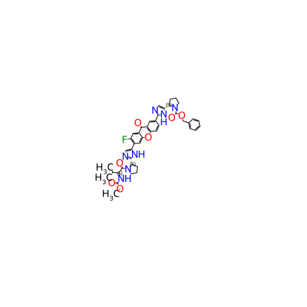 COC(=O)N[C@H](C(=O)N1CCC[C@H]1c1ncc(-c2cc3oc4ccc(-c5ncc([C@@H]6CCCN6C(=O)OCc6ccccc6)[nH]5)cc4c(=O)c3cc2F)[nH]1)C(C)C